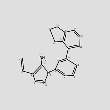 C=Cc1cnn(-c2cccc(-c3cccc4c3CCC4)c2)c1N